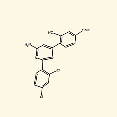 COc1ccc(-c2cc(N)nc(-c3ccc(Cl)cc3Cl)c2)c(O)c1